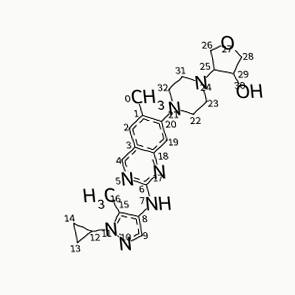 Cc1cc2cnc(Nc3cnn(C4CC4)c3C)nc2cc1N1CCN(C2COCC2O)CC1